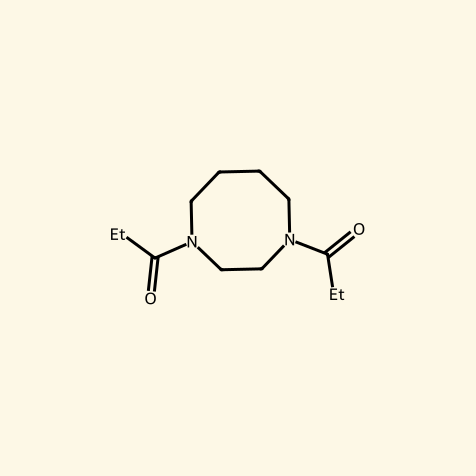 CCC(=O)N1CCCCN(C(=O)CC)CC1